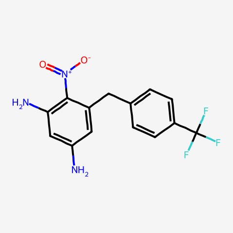 Nc1cc(N)c([N+](=O)[O-])c(Cc2ccc(C(F)(F)F)cc2)c1